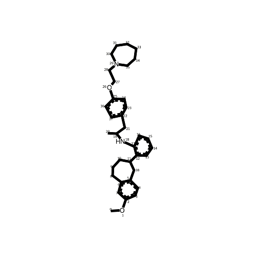 COc1ccc2c(c1)CCCC(c1ccccc1NC(C)Cc1ccc(OCCN3CCCCCC3)cc1)C2